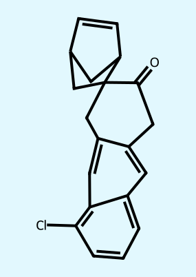 O=C1Cc2cc3cccc(Cl)c3cc2CC12CC1C=CC2C1